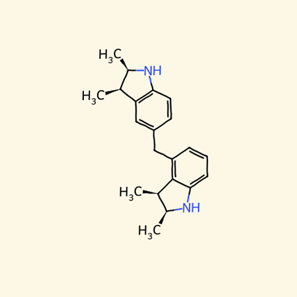 C[C@@H]1Nc2cccc(Cc3ccc4c(c3)[C@@H](C)[C@@H](C)N4)c2[C@@H]1C